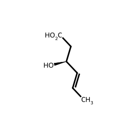 C/C=C/[C@@H](O)CC(=O)O